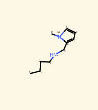 CCCCNCc1cccn1C